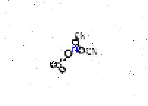 N#Cc1ccc2c(c1)c1cc(C#N)ccc1n2C1=C=CC(CCC2c3ccccc3-c3ccccc32)=CC=C1